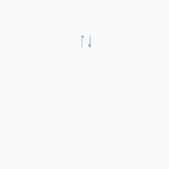 C1=NCCCC1